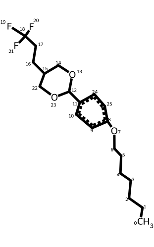 CCCCCCCOc1ccc(C2OCC(CCC(F)(F)F)CO2)cc1